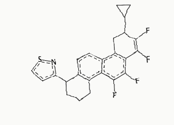 FC1=C(F)C(C2CC2)Cc2c1c(F)c(F)c1c3c(ccc21)C(c1ccsn1)CCC3